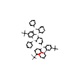 CC(C)(C)c1ccc(N(c2ccc3c(n2)N(c2ccccc2)c2cc(C(C)(C)C)cc4c2B3c2ccccc2N4c2ccccc2)c2ccc(C(C)(C)C)cc2-c2ccccc2)cc1